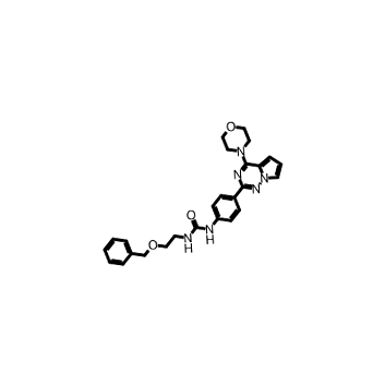 O=C(NCCOCc1ccccc1)Nc1ccc(-c2nc(N3CCOCC3)c3cccn3n2)cc1